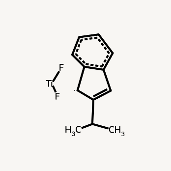 CC(C)C1=Cc2ccccc2[CH]1.[F][Ti][F]